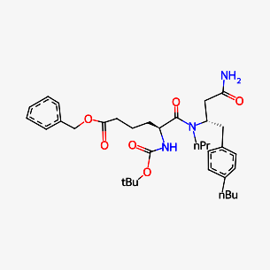 CCCCc1ccc(C[C@@H](CC(N)=O)N(CCC)C(=O)[C@H](CCCC(=O)OCc2ccccc2)NC(=O)OC(C)(C)C)cc1